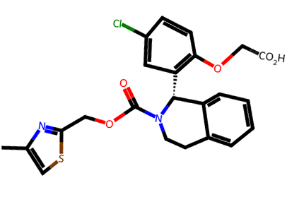 Cc1csc(COC(=O)N2CCc3ccccc3[C@H]2c2cc(Cl)ccc2OCC(=O)O)n1